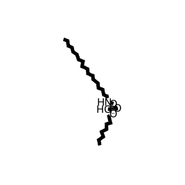 CCCCCCCCCCCCCCCCCCNOP(=O)(O)OCCCCCCCC